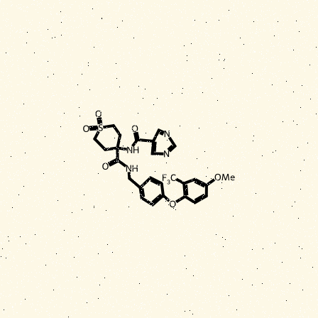 COc1ccc(Oc2ccc(CNC(=O)C3(NC(=O)c4cncnc4)CCS(=O)(=O)CC3)cc2)c(C(F)(F)F)c1